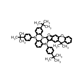 CC(C)(C)c1ccc(N2c3ccc(C(C)(C)C)cc3B3c4oc5cc6c(cc5c4N(c4ccc(C(C)(C)C)cc4)c4cccc2c43)C(C)(C)c2ccccc2O6)cc1